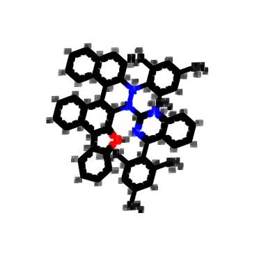 Bc1cc(B)c(-c2nc(N3c4c(c5ccccc5c5c4oc4ccccc45)-c4c(ccc5ccccc45)N3c3c(B)cc(B)cc3B)nc3ccccc23)c(B)c1